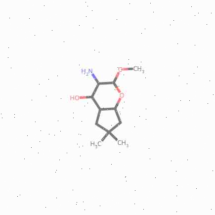 COC1OC2CC(C)(C)CC2C(O)C1N